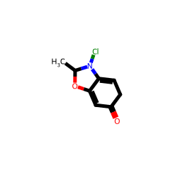 CC1OC2=CC(=O)CC=C2N1Cl